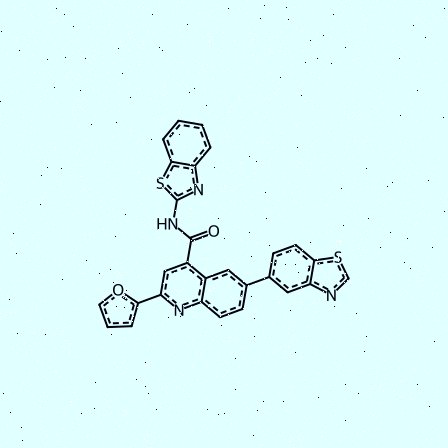 O=C(Nc1nc2ccccc2s1)c1cc(-c2ccco2)nc2ccc(-c3ccc4scnc4c3)cc12